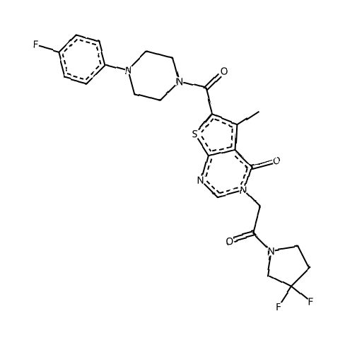 Cc1c(C(=O)N2CCN(c3ccc(F)cc3)CC2)sc2ncn(CC(=O)N3CCC(F)(F)C3)c(=O)c12